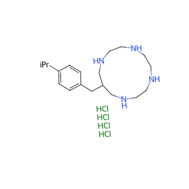 CC(C)c1ccc(CC2CNCCNCCNCCNC2)cc1.Cl.Cl.Cl.Cl